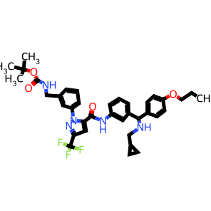 CCCOc1ccc(C(NCC2CC2)c2cccc(NC(=O)c3cc(C(F)(F)F)nn3-c3cccc(CNC(=O)OC(C)(C)C)c3)c2)cc1